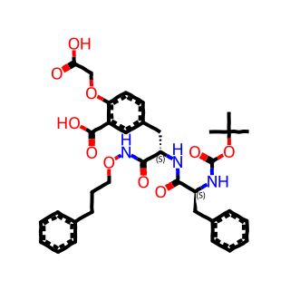 CC(C)(C)OC(=O)N[C@@H](Cc1ccccc1)C(=O)N[C@@H](Cc1ccc(OCC(=O)O)c(C(=O)O)c1)C(=O)NOCCCc1ccccc1